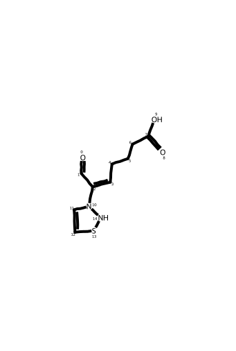 O=CC(=CCCCC(=O)O)N1C=CSN1